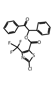 O=C(OC(C(=O)c1ccccc1)c1ccccc1)c1sc(Cl)nc1C(F)(F)F